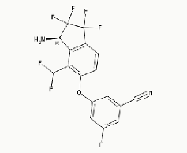 N#Cc1cc(F)cc(Oc2ccc3c(c2C(F)F)[C@@H](N)C(F)(F)C3(F)F)c1